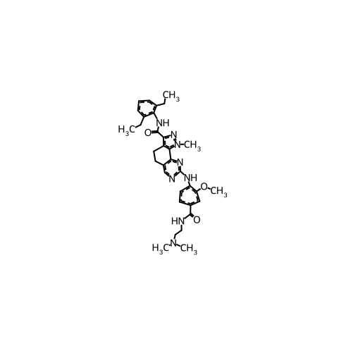 CCc1cccc(CC)c1NC(=O)c1nn(C)c2c1CCc1cnc(Nc3ccc(C(=O)NCCN(C)C)cc3OC)nc1-2